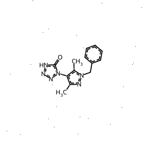 Cc1nn(Cc2ccccc2)c(C)c1-n1nn[nH]c1=O